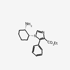 CCOC(=O)c1ncn([C@@H]2CCCC[C@@H]2N)c1-c1ccccc1